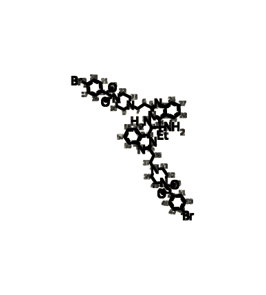 CCC(N)(c1nc(CCN2CCN(S(=O)(=O)c3ccc(Br)cc3)CC2)nc2ccccc12)C(N)c1nc(CCN2CCN(S(=O)(=O)c3ccc(Br)cc3)CC2)nc2ccccc12